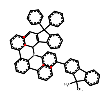 CC1(C)c2ccccc2-c2ccc(-c3ccc(N(c4c(-c5ccccc5)cccc4-c4ccccc4)C4CC=CC5=C4c4ccccc4C5(c4ccccc4)c4ccccc4)cc3)cc21